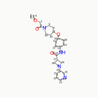 CCOCC(=O)N1CCC(Oc2ccc(NC(=O)C3CN(c4cccnc4)C3)cc2)CC1